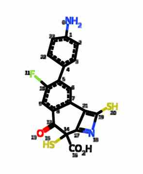 Nc1ccc(-c2cc3c(cc2F)C(=O)C(S)(C(=O)O)C2=NC(S)=C23)cc1